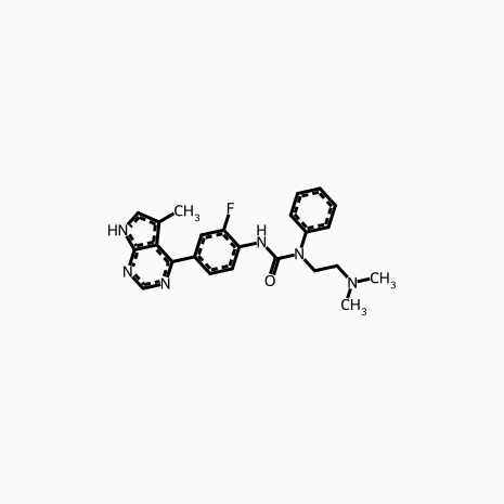 Cc1c[nH]c2ncnc(-c3ccc(NC(=O)N(CCN(C)C)c4ccccc4)c(F)c3)c12